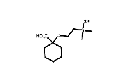 CC(C)(C)[Si](C)(C)CCOC1(C(=O)O)CCCCC1